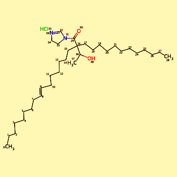 CCCCCCCCC=CCCCCCCC(CCCCCCCCCCCC)(C(=O)N1C=NCC1)C(C)O.Cl